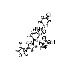 Cc1cc(NC(=O)c2ccc(Cl)cc2)ccc1N1CCC(N2CCCC2C)C1.O=C(O)C(F)(F)F